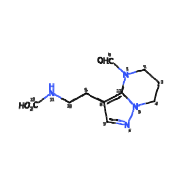 O=CN1CCCn2ncc(CCNC(=O)O)c21